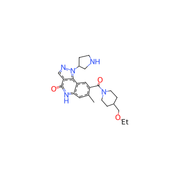 CCOCC1CCN(C(=O)c2cc3c(cc2C)[nH]c(=O)c2cnn(C4CCNC4)c23)CC1